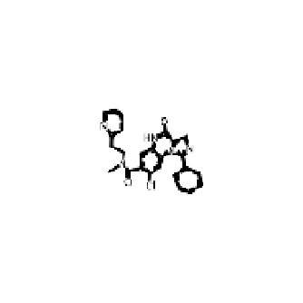 CN(CCc1ccccn1)C(=O)c1cc2[nH]c(=O)c3cnc(-c4ccccc4)n3c2cc1Cl